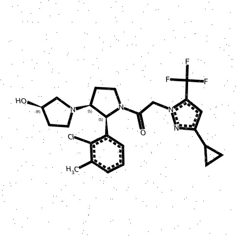 Cc1cccc([C@H]2[C@@H](N3CC[C@@H](O)C3)CCN2C(=O)Cn2nc(C3CC3)cc2C(F)(F)F)c1Cl